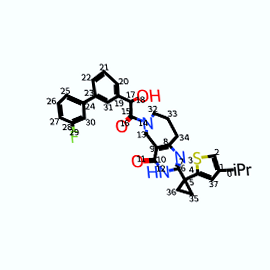 CC(C)c1csc(C2(c3nc4c(c(=O)[nH]3)CN(C(=O)C(O)c3cccc(-c5cccc(F)c5)c3)CCC4)CC2)c1